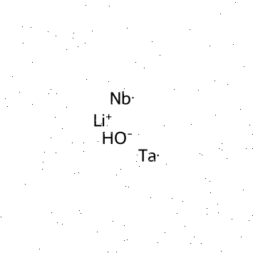 [Li+].[Nb].[OH-].[Ta]